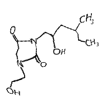 CCC(C)CC(O)CN1C(=O)CN(CCO)C1=O